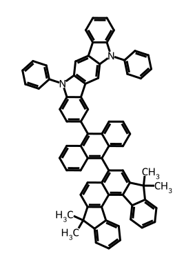 CC1(C)c2ccccc2-c2c1ccc1c(-c3c4ccccc4c(-c4ccc5c(c4)c4cc6c(cc4n5-c4ccccc4)c4ccccc4n6-c4ccccc4)c4ccccc34)cc3c(c21)-c1ccccc1C3(C)C